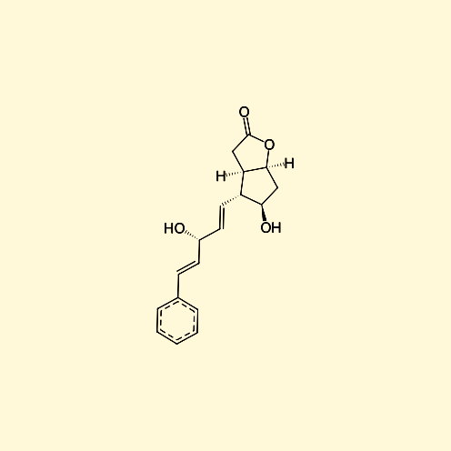 O=C1C[C@@H]2[C@@H](/C=C/[C@@H](O)/C=C/c3ccccc3)[C@H](O)C[C@@H]2O1